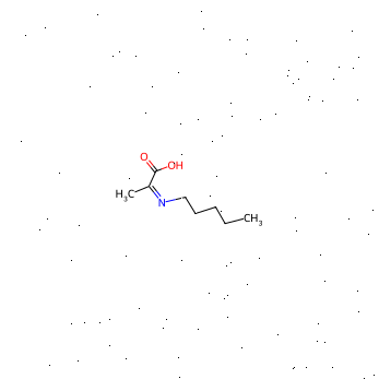 CCCCC/N=C(/C)C(=O)O